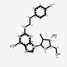 CC1[C@H](n2cnc3c(N)nc(OCCc4ccc(Cl)cc4)nc32)O[C@H](CO)[C@H]1O